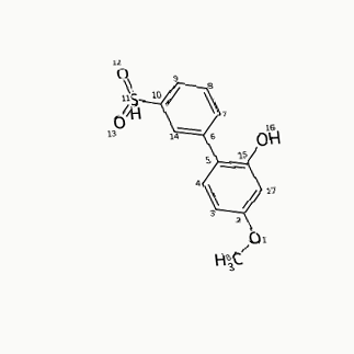 COc1ccc(-c2cccc([SH](=O)=O)c2)c(O)c1